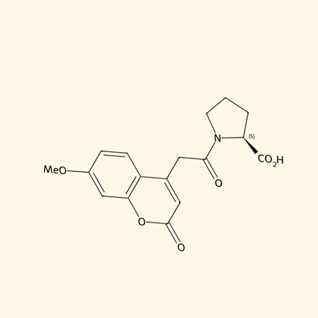 COc1ccc2c(CC(=O)N3CCC[C@H]3C(=O)O)cc(=O)oc2c1